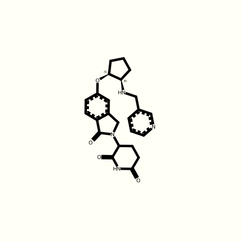 O=C1CCC(N2Cc3cc(O[C@H]4CCC[C@H]4NCc4cccnc4)ccc3C2=O)C(=O)N1